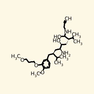 C#CCNC(O)[C@@H](C[C@H](O)[C@@H](N)C[C@H](Cc1ccc(OC)c(OCCCOC)c1)C(C)C)C(C)C